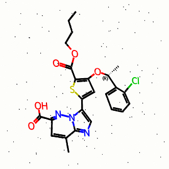 CCCCOC(=O)c1sc(-c2cnc3c(C)cc(C(=O)O)nn23)cc1O[C@H](C)c1ccccc1Cl